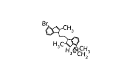 CC1=Cc2c(Br)cccc2C1CCC1C(C)=Cc2c1cccc2[Si](C)(C)C